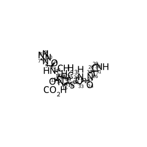 CC(NC(=O)Cn1cnnn1)[C@H]1C(=O)N2C(C(=O)O)=C(S[C@@H]3CN[C@H](C(=O)N4CC5(CCNC5)C4)C3)[C@H](C)[C@H]12